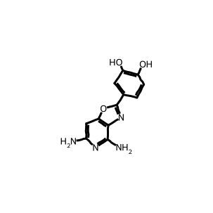 Nc1cc2oc(-c3ccc(O)c(O)c3)nc2c(N)n1